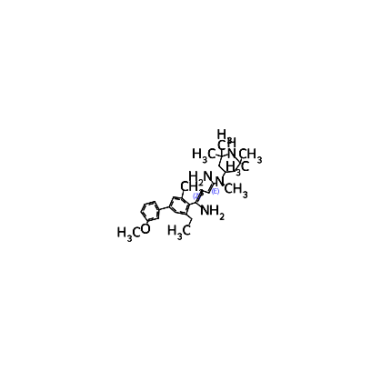 CCc1cc(-c2cccc(OC)c2)cc(C)c1/C(N)=C/C=C(\N)N(C)C1CC(C)(C)NC(C)(C)C1